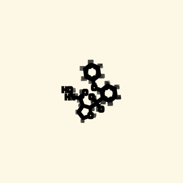 O=C(NO)C1CCOC1S(=O)(=O)c1ccccc1Oc1ccccc1